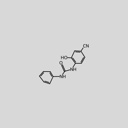 N#Cc1ccc(NC(=O)Nc2ccccc2)c(O)c1